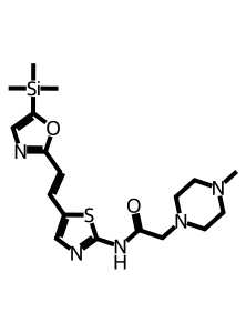 CN1CCN(CC(=O)Nc2ncc(C=Cc3ncc([Si](C)(C)C)o3)s2)CC1